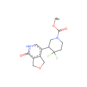 CC(C)(C)OC(=O)N1CCC(F)(F)C(c2c[nH]c(=O)c3c2COC3)C1